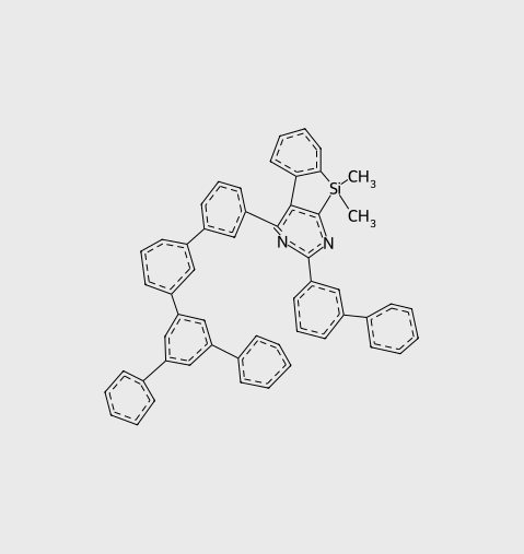 C[Si]1(C)c2ccccc2-c2c(-c3cccc(-c4cccc(-c5cc(-c6ccccc6)cc(-c6ccccc6)c5)c4)c3)nc(-c3cccc(-c4ccccc4)c3)nc21